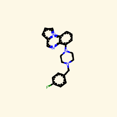 Fc1ccc(CN2CCN(c3cccc4c3ncc3cccn34)CC2)cc1